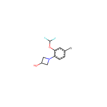 CCc1ccc(N2CC(O)C2)c(OC(F)F)c1